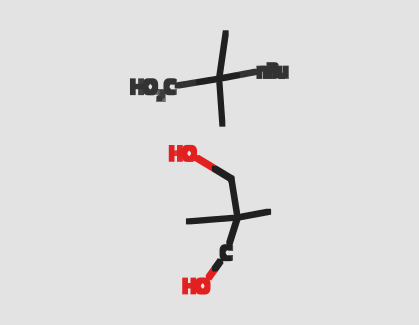 CC(C)(CO)CO.CCCCC(C)(C)C(=O)O